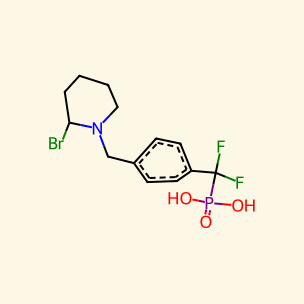 O=P(O)(O)C(F)(F)c1ccc(CN2CCCCC2Br)cc1